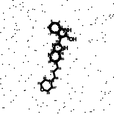 Oc1[nH]c2ccccc2c1-c1nc2ncc(CCCN3CCOCC3)cc2[nH]1